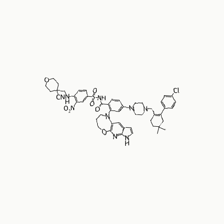 CC1(C)CCC(CN2CCN(c3ccc(C(=O)NS(=O)(=O)c4ccc(NCC5(C#N)CCOCC5)c([N+](=O)[O-])c4)c(N4CCCOc5nc6[nH]ccc6cc54)c3)CC2)=C(c2ccc(Cl)cc2)C1